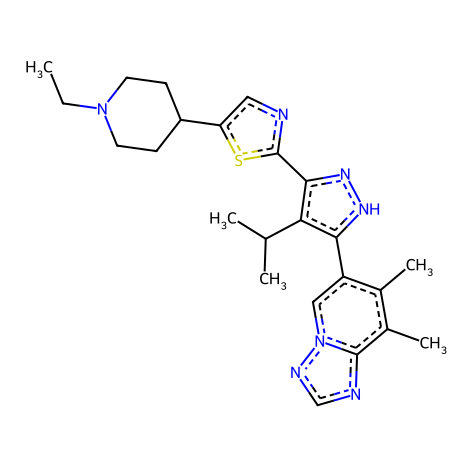 CCN1CCC(c2cnc(-c3n[nH]c(-c4cn5ncnc5c(C)c4C)c3C(C)C)s2)CC1